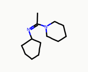 CC(=NC1CCCCC1)N1CCCCC1